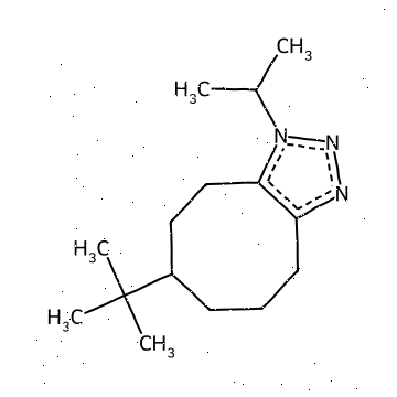 CC(C)n1nnc2c1CCC(C(C)(C)C)CCC2